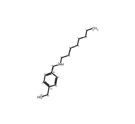 CCCCCCCCNCc1ccc(CO)cc1